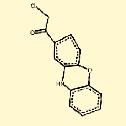 O=C(CCl)c1ccc2c(c1)Nc1ccccc1O2